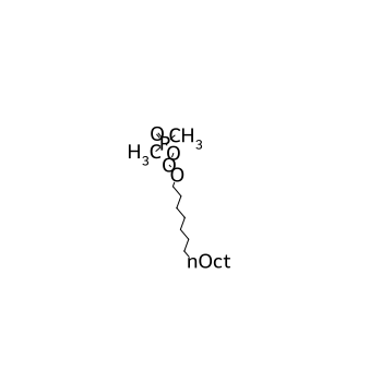 CCCCCCCCCCCCCCCOOOP(C)(C)=O